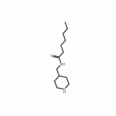 CCCCCCC(=O)NCC1CCNCC1